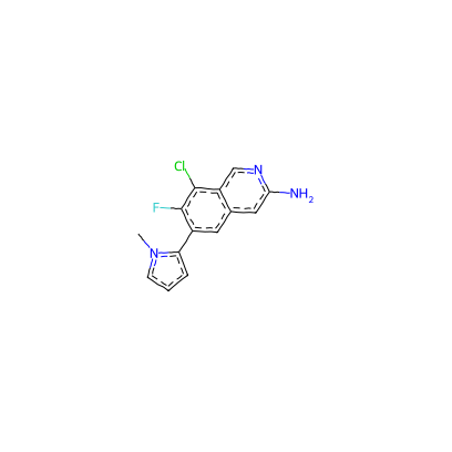 Cn1cccc1-c1cc2cc(N)ncc2c(Cl)c1F